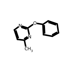 Cc1ccnc(Oc2ccccc2)n1